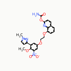 COc1c(-c2ccn(C)n2)cc(OCCOc2cccc3ccc(OC(N)=O)nc23)cc1[N+](=O)[O-]